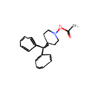 O=C(ON1CCC(=C(c2ccccc2)c2ccccc2)CC1)C(F)(F)F